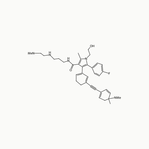 CNCCNCCCNC(=O)c1c(C2=CCCC(C#CC3=CCC(C)(NC)C=C3)=C2)c(-c2ccc(F)cc2)n(CCO)c1C